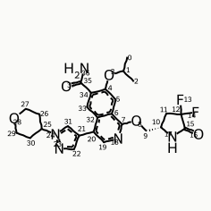 CC(C)Oc1cc2c(OC[C@@H]3CC(F)(F)C(=O)N3)ncc(-c3cnn(C4CCOCC4)c3)c2cc1C(N)=O